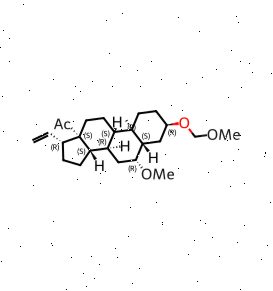 C=C[C@H]1CC[C@H]2[C@@H]3C[C@@H](OC)[C@H]4C[C@H](OCOC)CC[C@]4(C)[C@H]3CC[C@]12C(C)=O